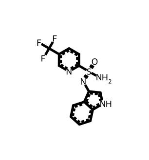 NS(=O)(=Nc1c[nH]c2ccccc12)c1ccc(C(F)(F)F)cn1